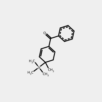 CC1([Si](C)(C)C)C=CC(C(=O)c2ccccc2)=CC1